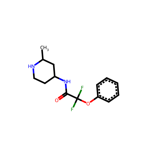 CC1CC(NC(=O)C(F)(F)Oc2ccccc2)CCN1